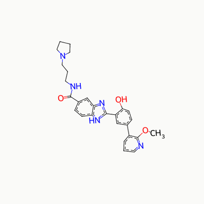 COc1ncccc1-c1ccc(O)c(-c2nc3cc(C(=O)NCCCN4CCCC4)ccc3[nH]2)c1